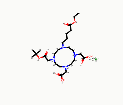 CCOC(=O)CCCCN1CCN(CC(=O)O)CCN(CC(=O)O)CCN(CC(=O)OC(C)(C)C)CC1.[Br-].[Na+]